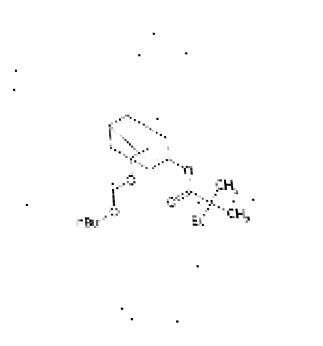 CCCCOCOC12CC3CC(C1)CC(OC(=O)C(C)(C)CC)(C3)C2